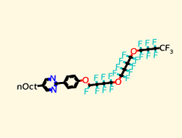 CCCCCCCCc1cnc(-c2ccc(OC(F)C(F)(F)C(F)(F)C(F)(F)OC(F)(F)C(F)(F)C(F)(F)C(F)(F)OC(F)(F)C(F)(F)C(F)(F)C(F)(F)F)cc2)nc1